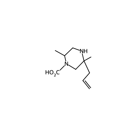 C=CCC1(C)CN(C(=O)O)C(C)CN1